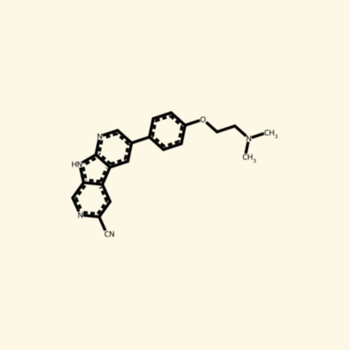 CN(C)CCOc1ccc(-c2cnc3[nH]c4cnc(C#N)cc4c3c2)cc1